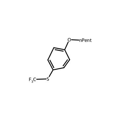 CCCCCOc1ccc(SC(F)(F)F)cc1